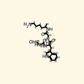 CC(CCCCN)NC(=O)CNC(=O)C(Cc1c[nH]c2ccccc12)NC(=O)NC=O